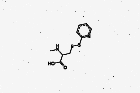 CNC(CSSc1ccccn1)C(=O)O